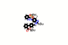 CCCCc1nc2ccc(NC(c3ccccc3)S(C)(=O)=O)cc2n1Cc1ccc(-c2ccccc2C(=O)OC(C)(C)C)cc1